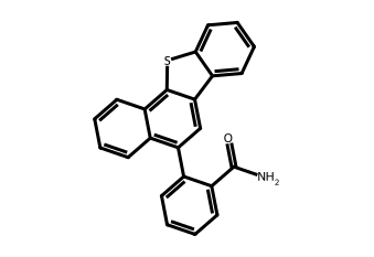 NC(=O)c1ccccc1-c1cc2c3ccccc3sc2c2ccccc12